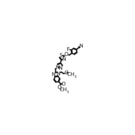 COCCn1c(Cn2cc(-c3csc(OCc4ccc(C#N)cc4F)n3)cn2)nc2ccc(C(=O)OC)cc21